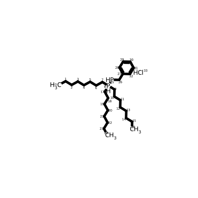 CCCCCCCC[PH](CCCCCCCC)(CCCCCCCC)PCc1ccccc1.Cl